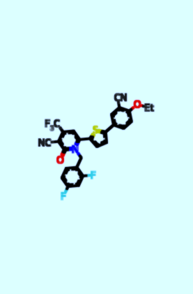 CCOc1ccc(-c2ccc(-c3cc(C(F)(F)F)c(C#N)c(=O)n3Cc3ccc(F)cc3F)s2)cc1C#N